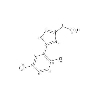 O=C(O)Cc1csc(-c2cc(C(F)(F)F)ccc2Cl)n1